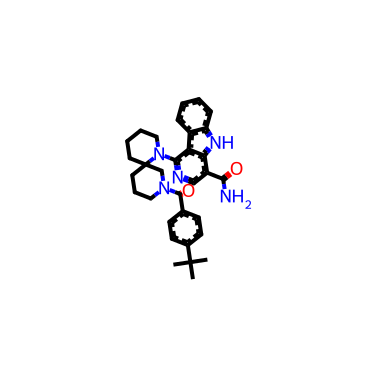 CC(C)(C)c1ccc(C(=O)N2CCCC3(CCCCN3c3ncc(C(N)=O)c4[nH]c5ccccc5c34)C2)cc1